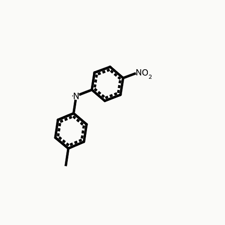 Cc1ccc([N]c2ccc([N+](=O)[O-])cc2)cc1